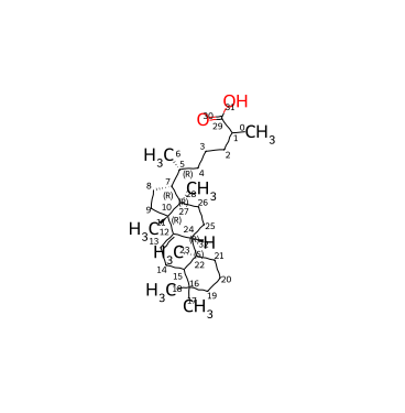 CC(CCC[C@@H](C)[C@H]1CC[C@@]2(C)C3=CCC4C(C)(C)CCC[C@]4(C)[C@H]3CC[C@]12C)C(=O)O